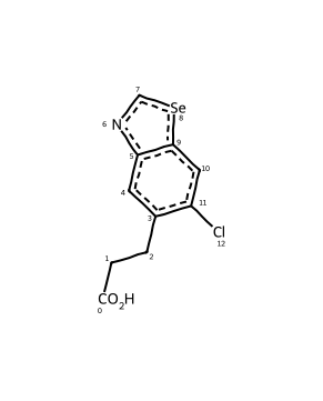 O=C(O)CCc1cc2nc[se]c2cc1Cl